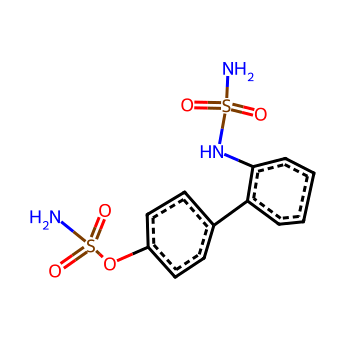 NS(=O)(=O)Nc1ccccc1-c1ccc(OS(N)(=O)=O)cc1